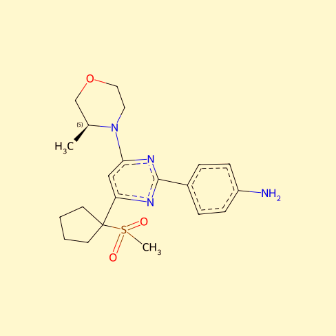 C[C@H]1COCCN1c1cc(C2(S(C)(=O)=O)CCCC2)nc(-c2ccc(N)cc2)n1